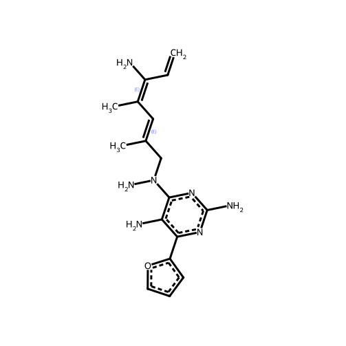 C=C/C(N)=C(C)\C=C(/C)CN(N)c1nc(N)nc(-c2ccco2)c1N